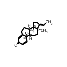 CC=C1CC[C@H]2[C@@H]3CCC4=CC(=O)C=C[C@]4(C)[C@H]3CC[C@]12C